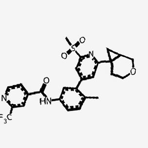 Cc1ccc(NC(=O)c2ccnc(C(F)(F)F)c2)cc1-c1cc(C23CCOCC2C3)nc(S(C)(=O)=O)c1